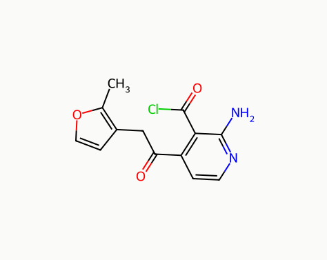 Cc1occc1CC(=O)c1ccnc(N)c1C(=O)Cl